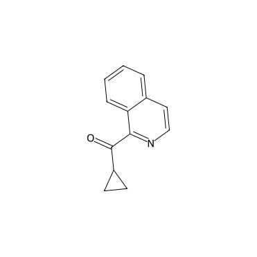 O=C(c1nccc2ccccc12)C1CC1